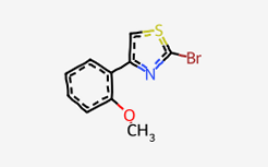 COc1ccccc1-c1csc(Br)n1